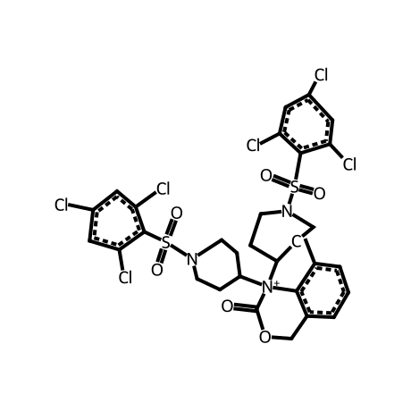 Cc1cccc2c1[N+](C1CCN(S(=O)(=O)c3c(Cl)cc(Cl)cc3Cl)CC1)(C1CCN(S(=O)(=O)c3c(Cl)cc(Cl)cc3Cl)CC1)C(=O)OC2